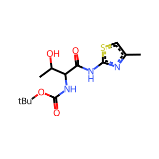 Cc1csc(NC(=O)C(NC(=O)OC(C)(C)C)C(C)O)n1